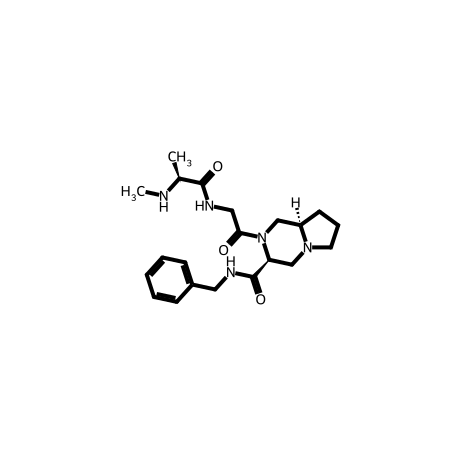 CN[C@@H](C)C(=O)NCC(=O)N1C[C@H]2CCCN2C[C@H]1C(=O)NCc1ccccc1